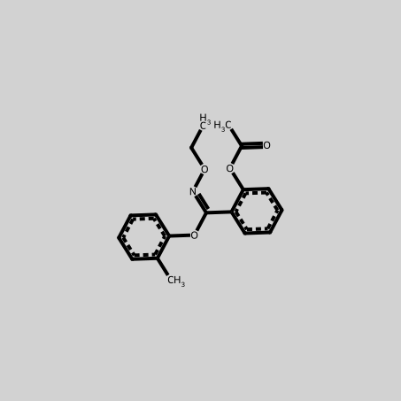 CCON=C(Oc1ccccc1C)c1ccccc1OC(C)=O